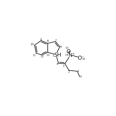 CCCC(=C[SH]1C=Cc2ccccc21)[N+](=O)[O-]